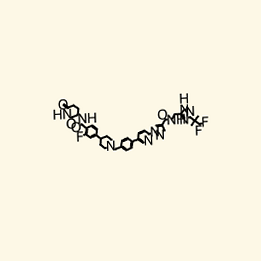 CC(C)(c1n[nH]c(CNC(=O)c2cnn(-c3ccc(-c4ccc(CN5CCC(c6ccc(C(=O)N[C@H]7CCC(=O)NC7=O)c(F)c6)CC5)cc4)cn3)c2)n1)C(F)F